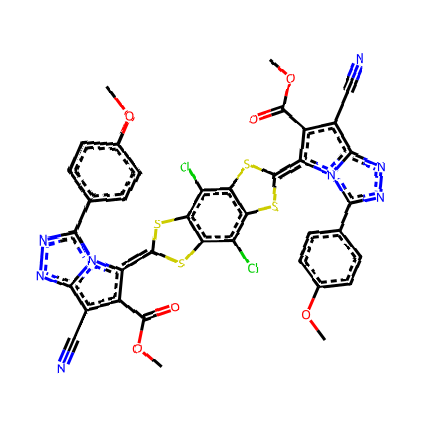 COC(=O)c1c(C#N)c2nnc(-c3ccc(OC)cc3)n2c1=C1Sc2c(Cl)c3c(c(Cl)c2S1)SC(=c1c(C(=O)OC)c(C#N)c2nnc(-c4ccc(OC)cc4)n12)S3